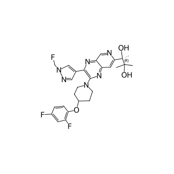 CC(C)(O)[C@](C)(O)c1cc2nc(N3CCC(Oc4ccc(F)cc4F)CC3)c(-c3cnn(CF)c3)nc2cn1